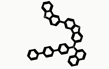 c1ccc(-c2ccc(-c3ccc(N(c4ccc5sc6ccc(-c7ccc8oc9ccccc9c8c7)cc6c5c4)c4cccc5ccccc45)cc3)cc2)cc1